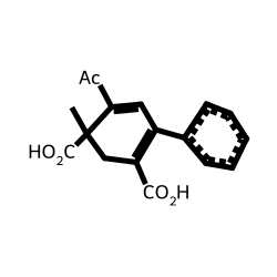 CC(=O)C1=CC(c2ccccc2)=C(C(=O)O)CC1(C)C(=O)O